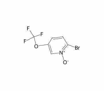 [O-][n+]1cc(OC(F)(F)F)ccc1Br